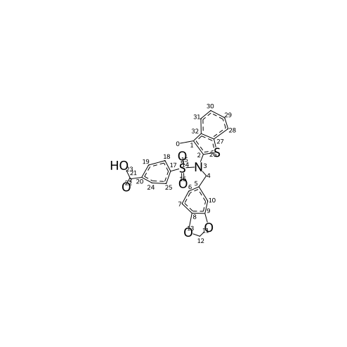 Cc1c(N(Cc2ccc3c(c2)OCO3)S(=O)(=O)c2ccc(C(=O)O)cc2)sc2ccccc12